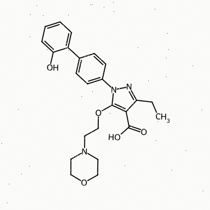 CCc1nn(-c2ccc(-c3ccccc3O)cc2)c(OCCN2CCOCC2)c1C(=O)O